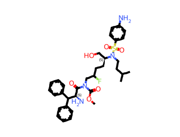 COC(=O)N(CC(F)CC[C@@H](CO)N(CCC(C)C)S(=O)(=O)c1ccc(N)cc1)C(=O)[C@@H](N)C(c1ccccc1)c1ccccc1